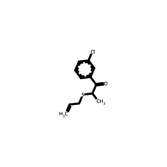 C=CCSC(C)C(=O)c1cccc(Cl)c1